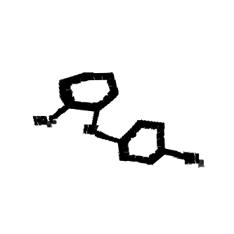 Nc1ccc(Nc2ccccc2C(=O)O)cc1